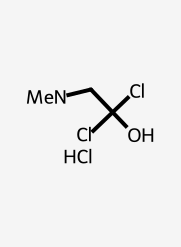 CNCC(O)(Cl)Cl.Cl